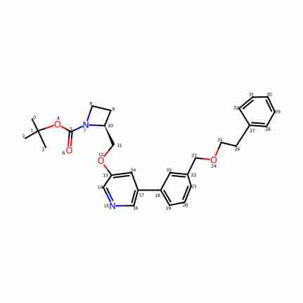 CC(C)(C)OC(=O)N1CC[C@H]1COc1cncc(-c2cccc(COCCc3ccccc3)c2)c1